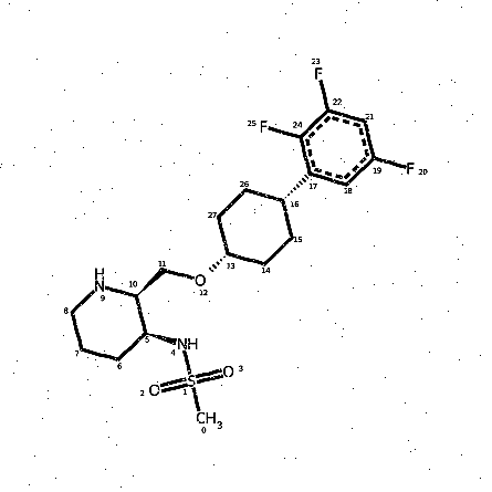 CS(=O)(=O)N[C@H]1CCCN[C@H]1CO[C@H]1CC[C@@H](c2cc(F)cc(F)c2F)CC1